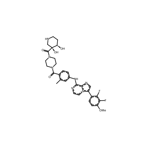 COc1ccc(-c2cnc3c(Nc4ccc(C(=O)N5CCN(C(=O)[C@]6(O)CNCC[C@H]6O)CC5)c(C)c4)nccn23)c(F)c1F